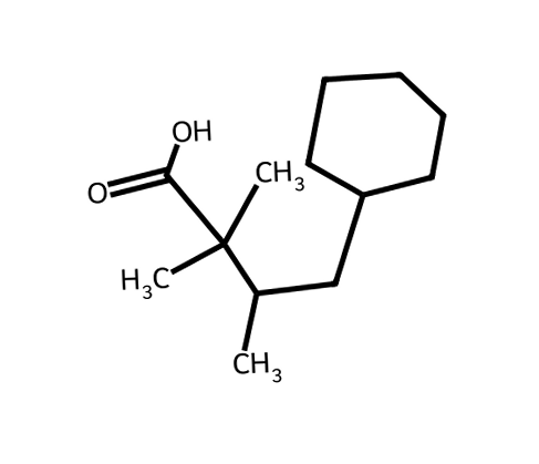 CC(CC1CCCCC1)C(C)(C)C(=O)O